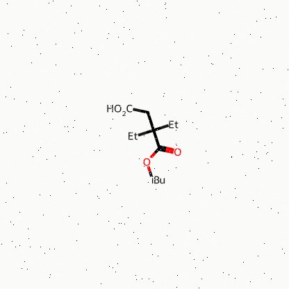 CCC(C)OC(=O)C(CC)(CC)CC(=O)O